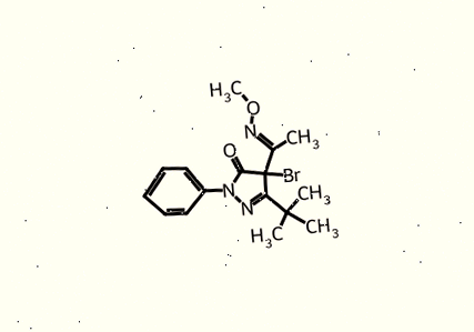 CON=C(C)C1(Br)C(=O)N(c2ccccc2)N=C1C(C)(C)C